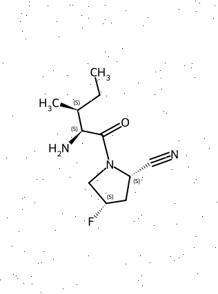 CC[C@H](C)[C@H](N)C(=O)N1C[C@@H](F)C[C@H]1C#N